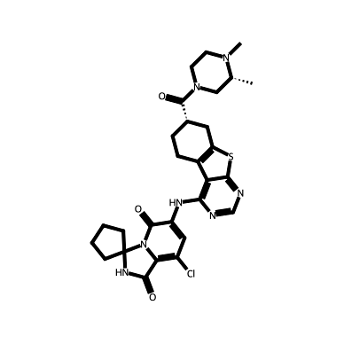 C[C@@H]1CN(C(=O)[C@H]2CCc3c(sc4ncnc(Nc5cc(Cl)c6n(c5=O)C5(CCCC5)NC6=O)c34)C2)CCN1C